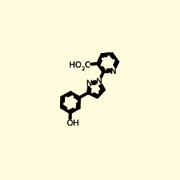 O=C(O)c1cccnc1-n1ccc(-c2cccc(O)c2)n1